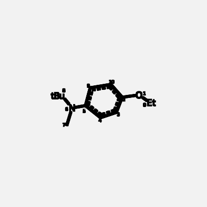 CCOc1ccc(N(C)C(C)(C)C)cc1